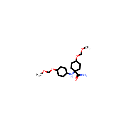 COCOC1CCC(NC2(C(N)=O)CCC(OCOC)CC2)CC1